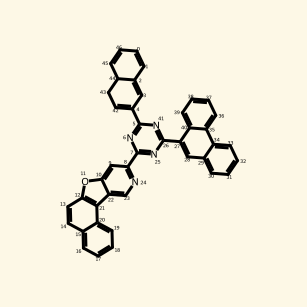 C1=CC2=CC(c3nc(-c4cc5oc6ccc7ccccc7c6c5cn4)nc(-c4cc5ccccc5c5ccccc45)n3)=CCC2C=C1